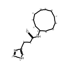 O=C(CCc1c[nH]nn1)NC1CCCCCCCCCC1